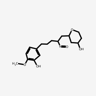 COc1ccc(CCCC(CC2CC(O)CCO2)N=O)cc1O